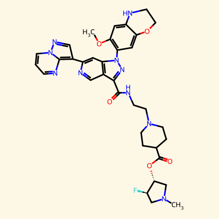 COc1cc2c(cc1-n1nc(C(=O)NCCN3CCC(C(=O)O[C@@H]4CN(C)C[C@H]4F)CC3)c3cnc(-c4cnn5cccnc45)cc31)OCCN2